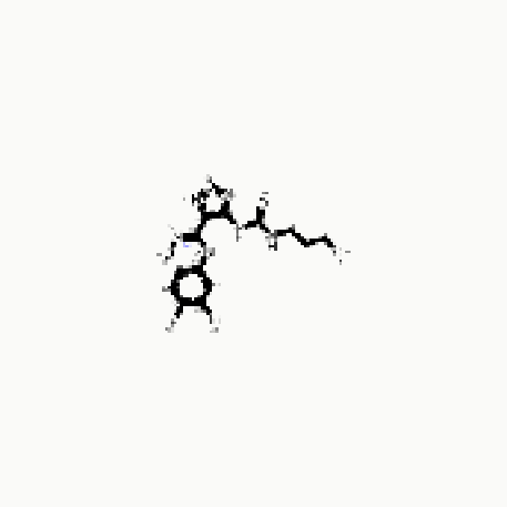 O=C(NCCCO)Nc1nonc1/C(=N/O)Nc1ccc(F)c(Br)c1